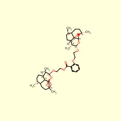 C[C@H]1[C@@H](OCCOC(=O)c2ccccc2OCCO[C@H]2O[C@@H]3O[C@@]4(C)CCC5[C@H](C)CC[C@@H]([C@H]2C)[C@]53OO4)O[C@@H]2O[C@@]3(C)CCC4[C@H](C)CC[C@@H]1[C@]42OO3